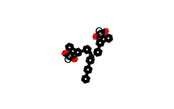 c1ccc(-c2ccc(-c3ccc(N(c4cccc(-c5ccc6c(c5)-c5ccccc5C65c6ccccc6Oc6ccccc65)c4)c4cccc(-c5ccc6c(c5)-c5ccccc5C65c6ccccc6Oc6ccccc65)c4)cc3)cc2)cc1